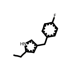 CCc1cc(Cc2ccc(F)cc2)c[nH]1